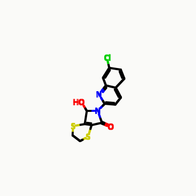 O=C1C2=C(SCCS2)C(O)N1c1ccc2ccc(Cl)cc2n1